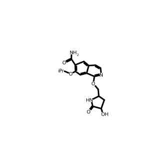 CC(C)Oc1cc2c(OCC3CC(O)C(=O)N3)nccc2cc1C(N)=O